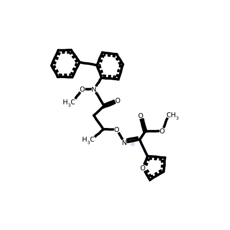 COC(=O)/C(=N\OC(C)CC(=O)N(OC)c1ccccc1-c1ccccc1)c1ccco1